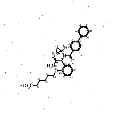 [2H]C1(N(C(=O)c2ccc(-c3ccccc3)cc2)C(C(N)=O)c2ccccc2OCCCCCC(=O)OCC)CC1